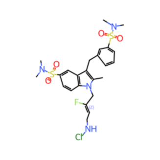 Cc1c(Cc2cccc(S(=O)(=O)N(C)C)c2)c2cc(S(=O)(=O)N(C)C)ccc2n1C/C(F)=C/CNCl